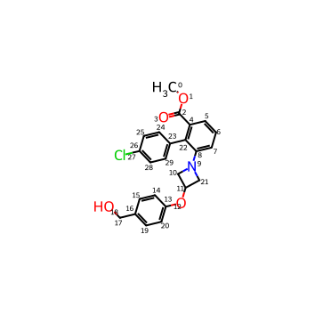 COC(=O)c1cccc(N2CC(Oc3ccc(CO)cc3)C2)c1-c1ccc(Cl)cc1